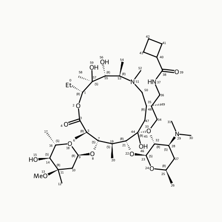 CC[C@H]1OC(=O)[C@H](C)[C@@H](O[C@H]2C[C@@](C)(OC)[C@@H](O)[C@H](C)O2)[C@H](C)[C@@H](O[C@@H]2O[C@H](C)C[C@H](N(C)C)[C@H]2OCCCNC(=O)C2CCC2)[C@](C)(O)C[C@@H](C)CN(C)[C@H](C)[C@@H](O)[C@]1(C)O